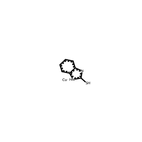 Sc1nc2ccccc2[nH]1.[Cu]